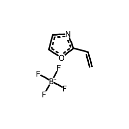 C=Cc1ncco1.F[B-](F)(F)F